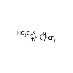 O=C(O)c1cnc(-c2ccc(C(F)(F)F)nc2)s1